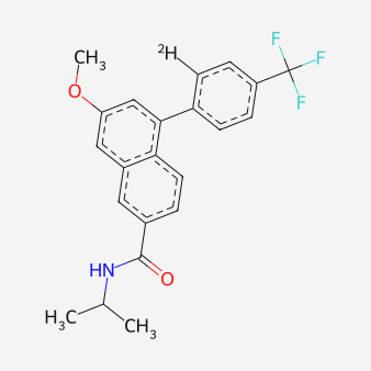 [2H]c1cc(C(F)(F)F)ccc1-c1cc(OC)cc2cc(C(=O)NC(C)C)ccc12